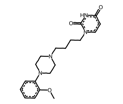 COc1ccccc1N1CCN(CCCCn2ccc(=O)[nH]c2=O)CC1